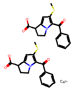 CSc1cc2n(c1C(=O)c1ccccc1)CCC2C(=O)[O-].CSc1cc2n(c1C(=O)c1ccccc1)CCC2C(=O)[O-].[Ca+2]